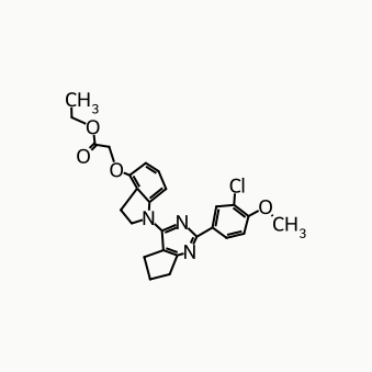 CCOC(=O)COc1cccc2c1CCN2c1nc(-c2ccc(OC)c(Cl)c2)nc2c1CCC2